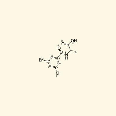 CC(NC(=O)c1cc(Cl)cc(Br)c1)C(=O)O